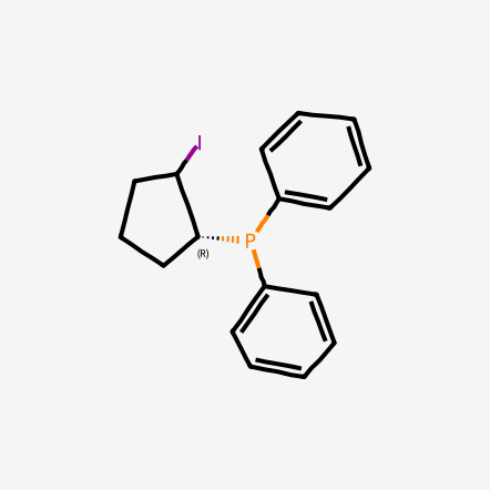 IC1CCC[C@H]1P(c1ccccc1)c1ccccc1